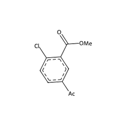 COC(=O)c1cc(C(C)=O)ccc1Cl